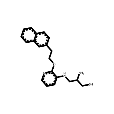 NC(CS)CNc1cccnc1OCCc1ccc2ccccc2c1